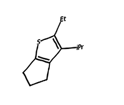 CCc1sc2c(c1C(C)C)CCC2